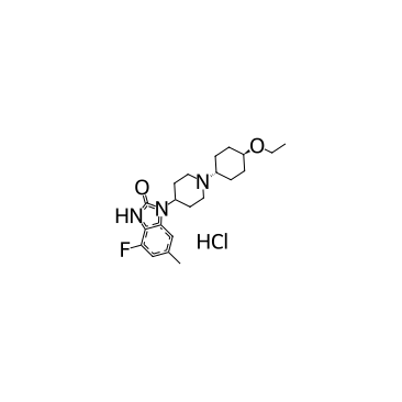 CCO[C@H]1CC[C@H](N2CCC(n3c(=O)[nH]c4c(F)cc(C)cc43)CC2)CC1.Cl